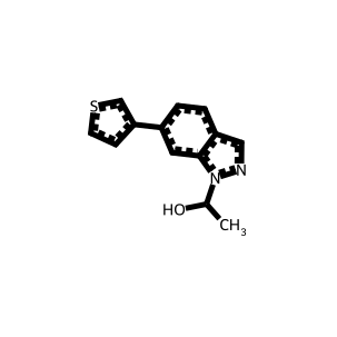 CC(O)n1ncc2ccc(-c3ccsc3)cc21